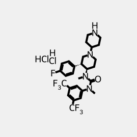 CN(C(=O)N(C)[C@@H]1CCN(C2CCNCC2)C[C@H]1c1ccc(F)cc1)c1cc(C(F)(F)F)cc(C(F)(F)F)c1.Cl.Cl